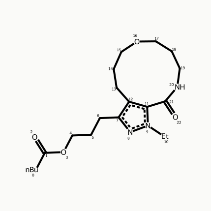 CCCCC(=O)OCCCc1nn(CC)c2c1CCCOCCCNC2=O